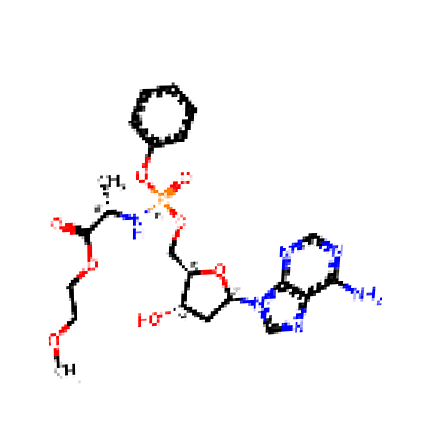 COCCOC(=O)[C@H](C)N[P@](=O)(OC[C@H]1O[C@@H](n2cnc3c(N)ncnc32)C[C@@H]1O)Oc1ccccc1